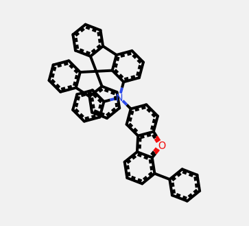 c1ccc(-c2cccc3c2oc2ccc(N(c4ccccc4)c4cccc5c4C4(c6ccccc6-c6ccccc64)c4ccccc4-5)cc23)cc1